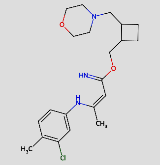 C/C(=C/C(=N)OCC1CCC1CN1CCOCC1)Nc1ccc(C)c(Cl)c1